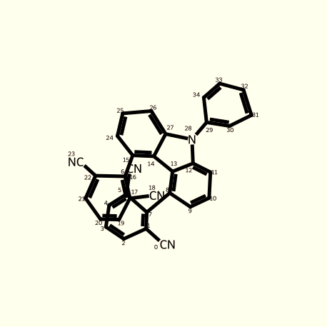 N#Cc1cccc(C#N)c1-c1cccc2c1c1c(-c3c(C#N)cccc3C#N)cccc1n2-c1ccccc1